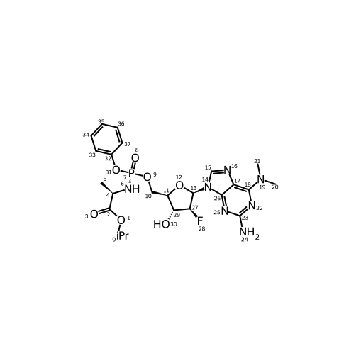 CC(C)OC(=O)[C@@H](C)N[P@](=O)(OC[C@H]1O[C@@H](n2cnc3c(N(C)C)nc(N)nc32)[C@@H](F)[C@@H]1O)Oc1ccccc1